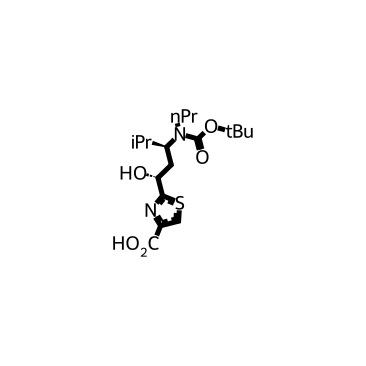 CCCN(C(=O)OC(C)(C)C)[C@@H](C[C@@H](O)c1nc(C(=O)O)cs1)C(C)C